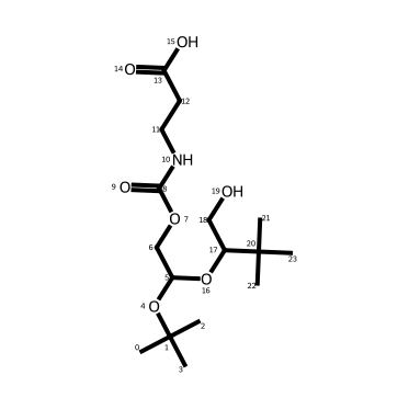 CC(C)(C)OC(COC(=O)NCCC(=O)O)OC(CO)C(C)(C)C